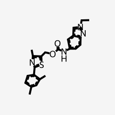 CCn1cc2cc(NC(=O)OCc3sc(-c4ccc(C)cc4C)nc3C)ccc2n1